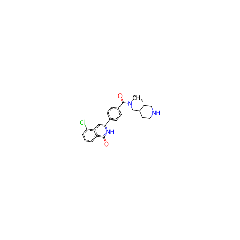 CN(CC1CCNCC1)C(=O)c1ccc(-c2cc3c(Cl)cccc3c(=O)[nH]2)cc1